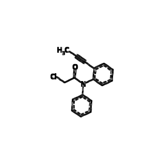 CC#Cc1ccccc1N(C(=O)CCl)c1ccccc1